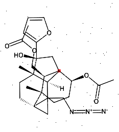 CC(=O)OC[C@H]1C[C@@H](OC(C)=O)CC[C@]1(C)[C@@]12CC[C@@]3(C)[C@@H](CC[C@@]3(O)c3ccco3)C1(CN=[N+]=[N-])C2